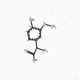 COc1cc(C(N)C(=O)O)ccc1O